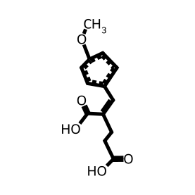 COc1ccc(/C=C(/CCC(=O)O)C(=O)O)cc1